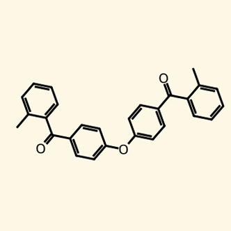 Cc1ccccc1C(=O)c1ccc(Oc2ccc(C(=O)c3ccccc3C)cc2)cc1